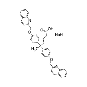 CC(CCCC(=O)O)(c1ccc(OCc2ccc3ccccc3n2)cc1)c1ccc(OCc2ccc3ccccc3n2)cc1.[NaH]